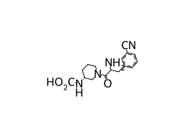 N#Cc1cccc(CC(N)C(=O)N2CCC[C@@H](NC(=O)O)C2)c1